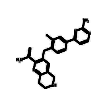 Cc1cc(-c2ccnc(N)n2)ccc1Cc1cc2c(nc1C(N)=O)CCNC2